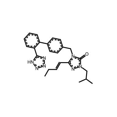 CC/C=C/c1nn(CC(C)C)c(=O)n1Cc1ccc(-c2ccccc2-c2nnn[nH]2)cc1